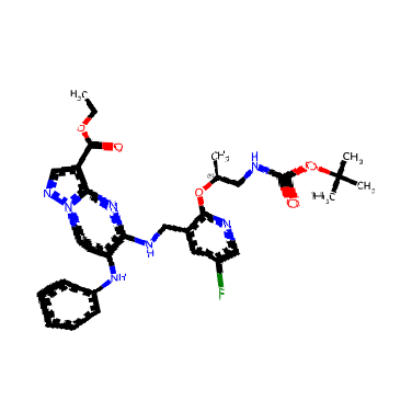 CCOC(=O)c1cnn2cc(Nc3ccccc3)c(NCc3cc(F)cnc3O[C@@H](C)CNC(=O)OC(C)(C)C)nc12